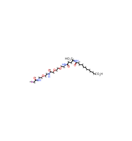 O=C(O)CCCCCCCCCCC(=O)N[C@@H](CCC(=O)NCCOCCOCC(=O)NCCOCCNC(=O)CI)C(=O)O